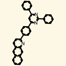 c1ccc(-c2cc(-c3ccc(-c4ccc5cc6ccccc6cc5n4)cc3)nc(-c3ccccc3)n2)cc1